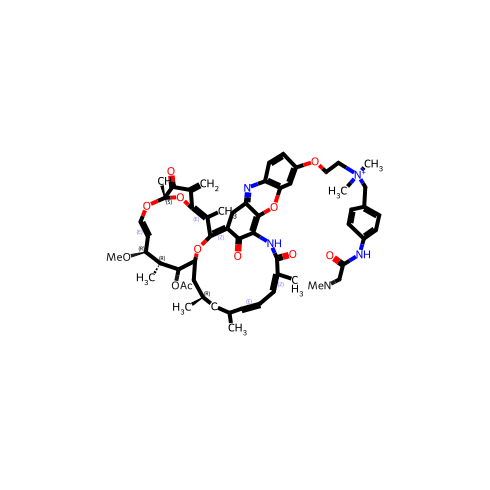 C=C1C(=O)[C@@]2(C)O/C=C/[C@H](OC)[C@@H](C)C(OC(C)=O)C3C[C@H](C)CC(C)/C=C/C=C(/C)C(=O)NC4=C5Oc6cc(OCC[N+](C)(C)Cc7ccc(NC(=O)CNC)cc7)ccc6N=C5C/C(=C(O3)\C(C)=C/1O2)C4=O